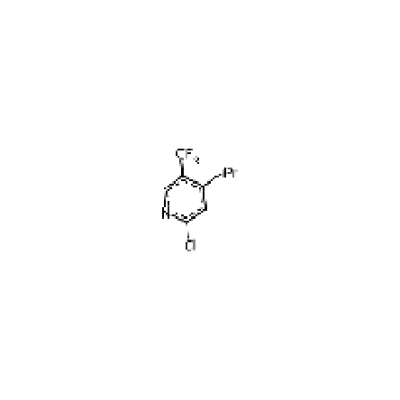 CC(C)c1cc(Cl)ncc1C(F)(F)F